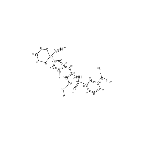 CCOc1cc2nc(C3(C#N)CCOCC3)cn2cc1NC(=O)c1cccc(C(F)F)n1